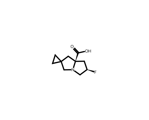 O=C(O)[C@@]12C[C@@H](F)CN1CC1(CC1)C2